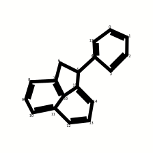 [c]1cccc(C2Cc3cccc4cccc2c34)c1